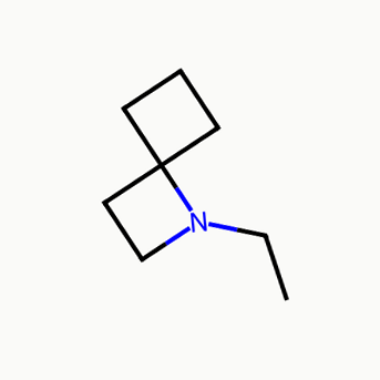 CCN1CCC12CCC2